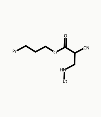 CCNCC(C#N)C(=O)OCCCC(C)C